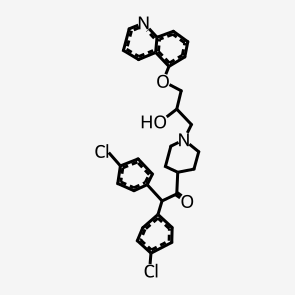 O=C(C1CCN(CC(O)COc2cccc3ncccc23)CC1)C(c1ccc(Cl)cc1)c1ccc(Cl)cc1